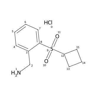 Cl.NCc1ccccc1S(=O)(=O)C1CCC1